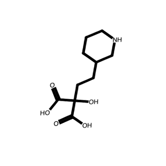 O=C(O)C(O)(CCC1CCCNC1)C(=O)O